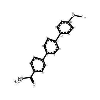 CNC(=O)c1ccc(-c2ccc(-c3ccc(OF)cc3)cc2)cc1